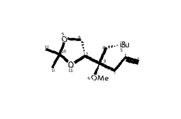 C=CC[C@](C[C@@H](C)CC)(OC)[C@H]1COC(C)(C)O1